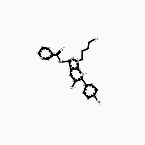 CC(C)CCCCn1nc(NC(=O)c2cccnc2)c2cc(Cl)c(-c3ccc(O)cc3)nc21